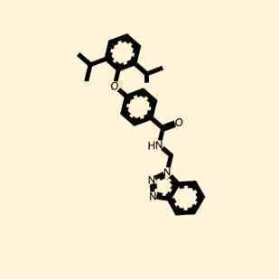 CC(C)c1cccc(C(C)C)c1Oc1ccc(C(=O)NCn2nnc3ccccc32)cc1